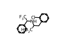 O=C(O)C(Cc1ccccc1Cl)N[C@@H](c1ccccc1)C(F)(F)F